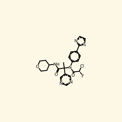 CC(C(=O)NC1CCOCC1)(c1cncnc1)N(C(=O)[C@H](F)Cl)c1ccc(-c2nccs2)cc1